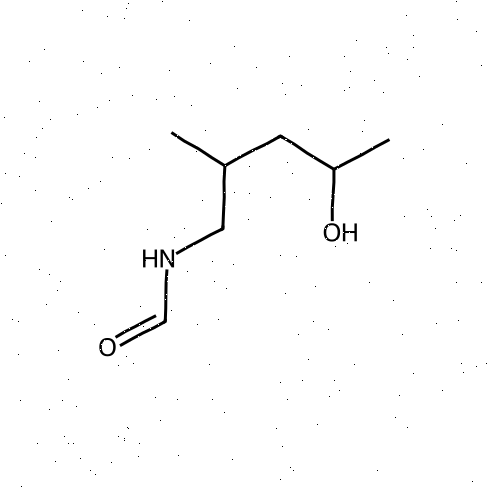 CC(O)CC(C)CNC=O